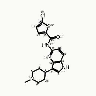 CN1CCC(c2c[nH]c3ccc(NC(=O)c4ccc(Cl)s4)nc23)CC1